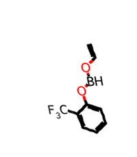 C=COBOc1ccccc1C(F)(F)F